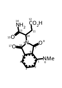 CNc1cccc2c1C(=O)N(C(CC(=O)O)C(N)=O)C2=O